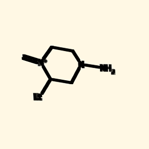 C=[N+]1CCN(N)CC1CC